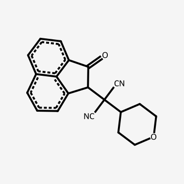 N#CC(C#N)(C1CCOCC1)C1C(=O)c2cccc3cccc1c23